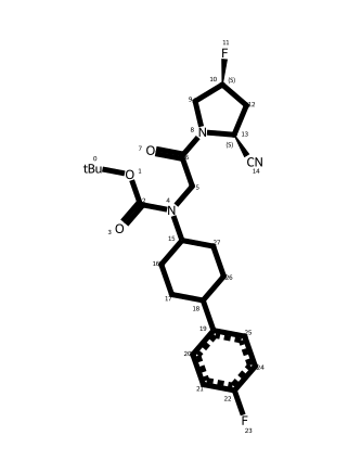 CC(C)(C)OC(=O)N(CC(=O)N1C[C@@H](F)C[C@H]1C#N)C1CCC(c2ccc(F)cc2)CC1